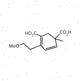 COCCC1=C(C(=O)O)CC(C)(C(=O)O)C=C1